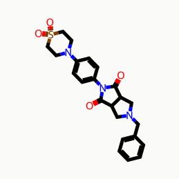 O=C1C2CN(Cc3ccccc3)CC2C(=O)N1c1ccc(N2CCS(=O)(=O)CC2)cc1